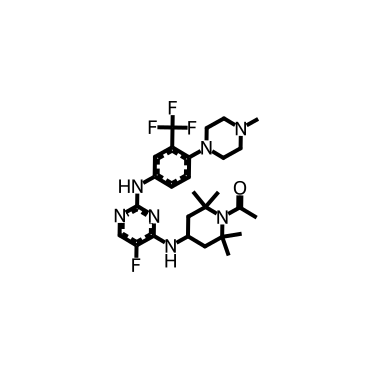 CC(=O)N1C(C)(C)CC(Nc2nc(Nc3ccc(N4CCN(C)CC4)c(C(F)(F)F)c3)ncc2F)CC1(C)C